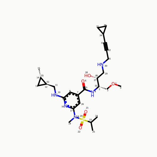 COC[C@H](NC(=O)c1cc(NC[C@H]2C[C@@H]2C)nc(N(C)S(=O)(=O)C(C)C)c1)[C@H](O)CNCC#CC1CC1